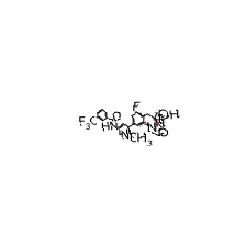 Cc1ncc(NC(=O)c2cccc(C(F)(F)F)c2)cc1-c1cc(F)c2c(c1)N1CCOC[C@@H]1[C@@](F)(CO)C2